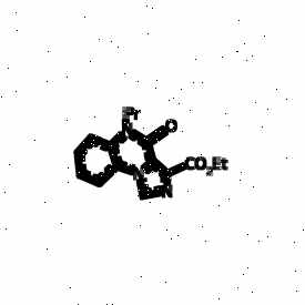 CCOC(=O)c1ncn2c1c(=O)n(C(C)C)c1ccccc12